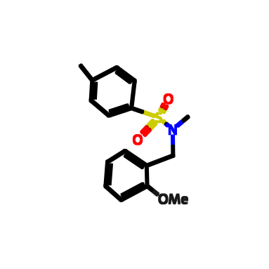 COc1ccccc1CN(C)S(=O)(=O)c1ccc(C)cc1